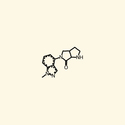 Cn1ncc2c(N3CC4CCNC4C3=O)cccc21